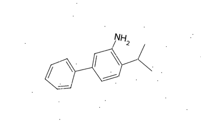 CC(C)c1ccc(-c2ccccc2)cc1N